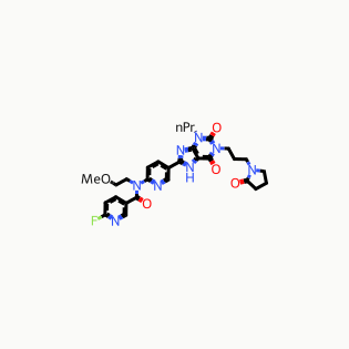 CCCn1c(=O)n(CCCN2CCCC2=O)c(=O)c2[nH]c(-c3ccc(N(CCOC)C(=O)c4ccc(F)nc4)nc3)nc21